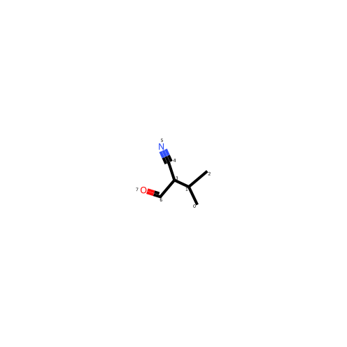 CC(C)C(C#N)C=O